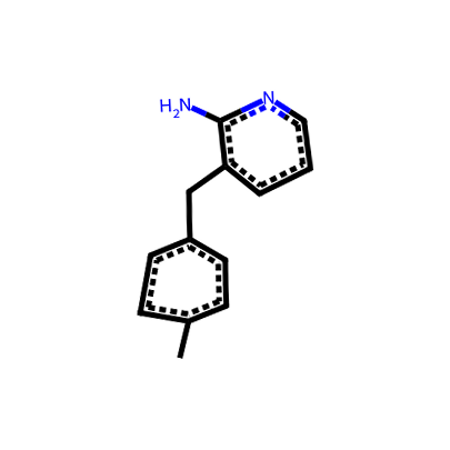 Cc1ccc(Cc2cccnc2N)cc1